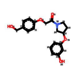 O=C(COc1ccc(CO)cc1)N1CCC(Oc2cccc(O)c2)C1